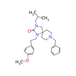 COc1ccc(CCN2C(=O)N(CC(C)C)CC23CCN(Cc2ccccc2)CC3)cc1